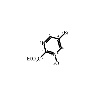 CCOC(=O)c1ncc(Br)c[n+]1[O-]